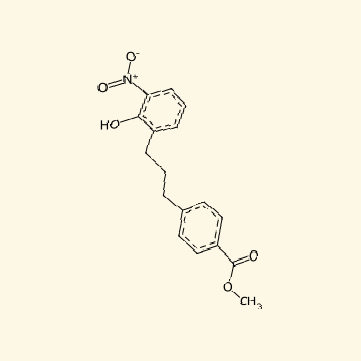 COC(=O)c1ccc(CCCc2cccc([N+](=O)[O-])c2O)cc1